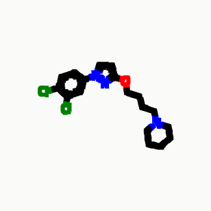 Clc1ccc(-n2ccc(OCCCCN3CCCCC3)n2)cc1Cl